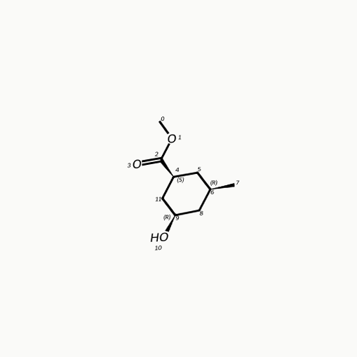 COC(=O)[C@H]1C[C@@H](C)C[C@@H](O)C1